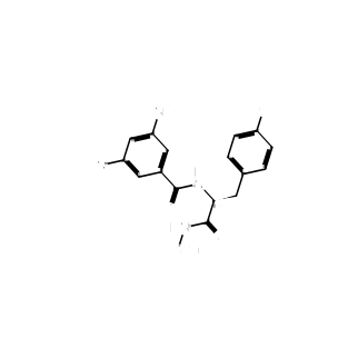 CCCCNC(=O)[C@H](Cc1ccc(O)cc1)NC(=O)c1cc([N+](=O)[O-])cc([N+](=O)[O-])c1